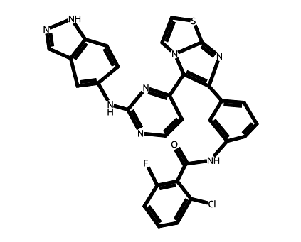 O=C(Nc1cccc(-c2nc3sccn3c2-c2ccnc(Nc3ccc4[nH]ncc4c3)n2)c1)c1c(F)cccc1Cl